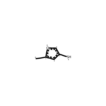 Cc1cc(S)co1